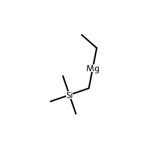 C[CH2][Mg][CH2][Si](C)(C)C